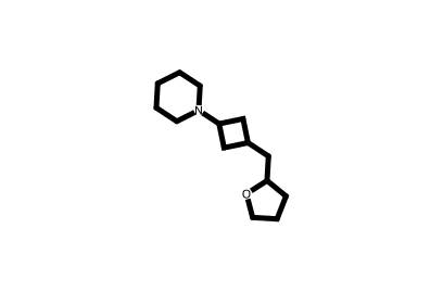 C1CCN(C2CC(CC3CCCO3)C2)CC1